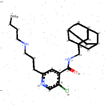 CNCCCNCCCc1cc(C(=O)NCC23CC4CC(CC(C4)C2)C3)c(Cl)cn1